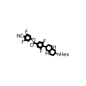 CCCCCC[C@H]1CC[C@@H]2CC(c3c(F)cc(C(=O)Oc4cc(F)c(C#N)c(F)c4)cc3F)CC[C@H]2C1